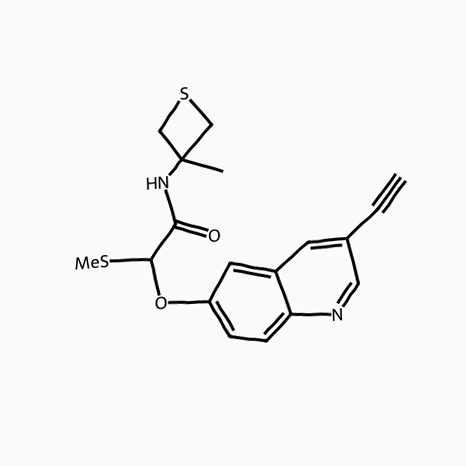 C#Cc1cnc2ccc(OC(SC)C(=O)NC3(C)CSC3)cc2c1